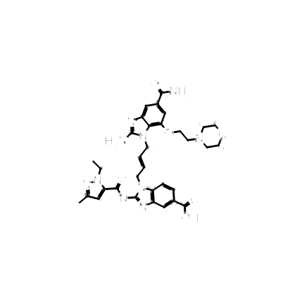 CCn1nc(C)cc1C(=O)Nc1nc2cc(C(=O)O)ccc2n1CC=CCn1c(N)nc2cc(C(N)=O)cc(OCCN3CCOCC3)c21